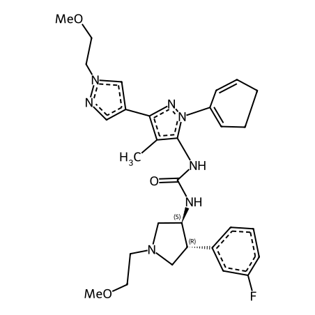 COCCN1C[C@@H](NC(=O)Nc2c(C)c(-c3cnn(CCOC)c3)nn2C2=CCCC=C2)[C@H](c2cccc(F)c2)C1